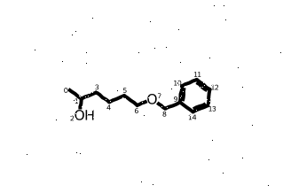 CC(O)CCCCOCc1ccccc1